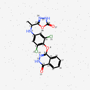 CC(Nc1cc(Cl)c(Oc2n[nH]c(=O)c3ccccc23)c(Cl)c1)c1n[nH]c(=O)o1